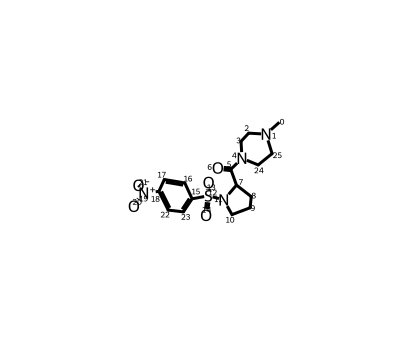 CN1CCN(C(=O)C2CCCN2S(=O)(=O)c2ccc([N+](=O)[O-])cc2)CC1